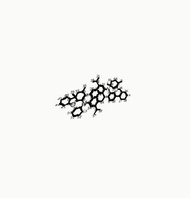 CC1C=CC(C)(N(c2cccc3c2OCC2=C3CCC=C2)c2cc(C(C)C)c3ccc4c(N(C5=CC(C)CC6(C)C5OC5C=CC=CC56)C5C=CC=CC5)cc(C(C)C)c5c4c3c2CC5)CC1